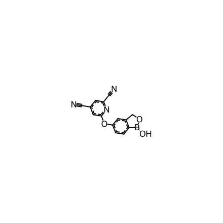 N#Cc1cc(C#N)nc(Oc2ccc3c(c2)COB3O)c1